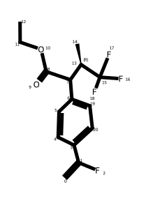 C=C(F)c1ccc(C(C(=O)OCC)[C@@H](C)C(F)(F)F)cc1